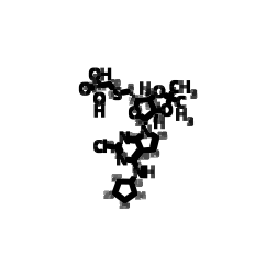 CC1(C)O[C@@H]2[C@H](O1)[C@@H](CSCP(=O)(O)O)O[C@H]2n1ccc2c(NC3CCCC3)nc(Cl)nc21